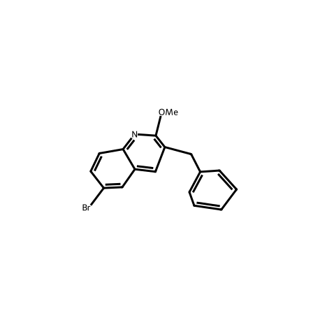 COc1nc2ccc(Br)cc2cc1Cc1ccccc1